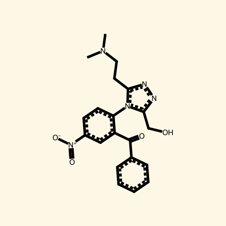 CN(C)CCc1nnc(CO)n1-c1ccc([N+](=O)[O-])cc1C(=O)c1ccccc1